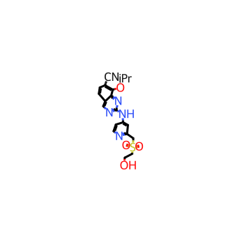 CC(C)Oc1c(C#N)ccc2cnc(Nc3ccnc(CS(=O)(=O)CCO)c3)nc12